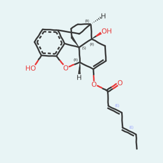 C/C=C/C=C/C(=O)OC1=CC[C@@]2(O)[C@@H]3CCC[C@@]24c2c(ccc(O)c2O[C@@H]14)C3